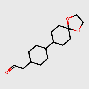 O=CCC1CCC(C2CCC3(CC2)OCCO3)CC1